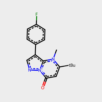 Cn1c(C(C)(C)C)cc(=O)n2ncc(-c3ccc(F)cc3)c12